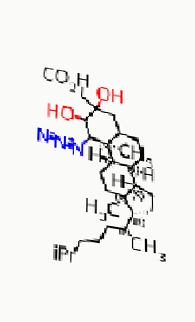 CC(C)CCC[C@@H](C)[C@H]1CC[C@H]2[C@@H]3CCC4CC(O)(CC(=O)O)C(O)C(N=[N+]=[N-])[C@]4(C)[C@H]3CC[C@]12C